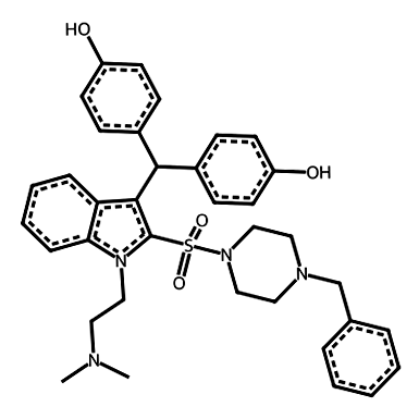 CN(C)CCn1c(S(=O)(=O)N2CCN(Cc3ccccc3)CC2)c(C(c2ccc(O)cc2)c2ccc(O)cc2)c2ccccc21